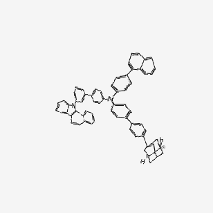 c1cc(-c2ccc(N(c3ccc(-c4ccc(C56C[C@@H]7CC8C[C@@H](C5)C87C6)cc4)cc3)c3ccc(-c4cccc5ccccc45)cc3)cc2)cc(-n2c3ccccc3c3ccc4ccccc4c32)c1